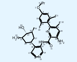 CC(C)Oc1cc(F)c(-c2nc(C(=O)Nc3cnccc3[C@H]3C[C@@H](N)[C@H](O)[C@@H](C)C3)c(N)cc2F)c(F)c1